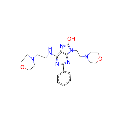 Oc1nc2c(NCCN3CCOCC3)nc(-c3ccccc3)nc2n1CCN1CCOCC1